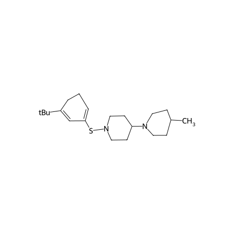 CC1CCN(C2CCN(SC3=CCCC(C(C)(C)C)=C3)CC2)CC1